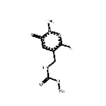 Cn1nc(Cl)c(CNC(=O)OC(C)(C)C)cc1=O